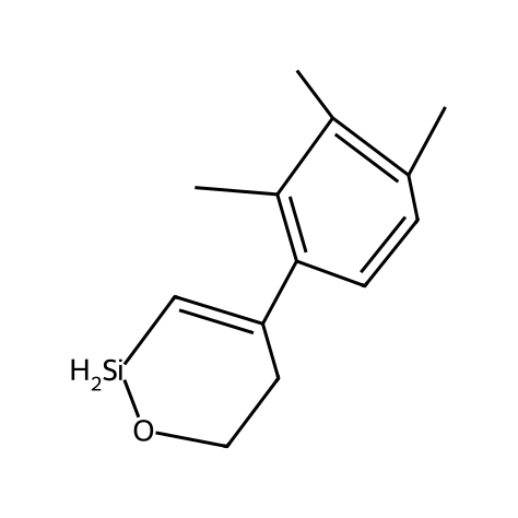 Cc1ccc(C2=C[SiH2]OCC2)c(C)c1C